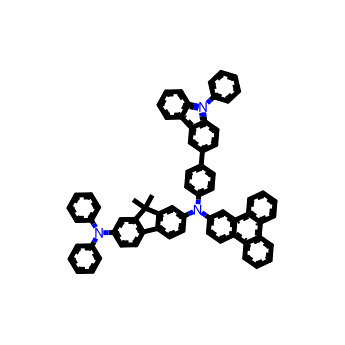 CC1(C)c2cc(N(c3ccccc3)c3ccccc3)ccc2-c2ccc(N(c3ccc(-c4ccc5c(c4)c4ccccc4n5-c4ccccc4)cc3)c3ccc4c5ccccc5c5ccccc5c4c3)cc21